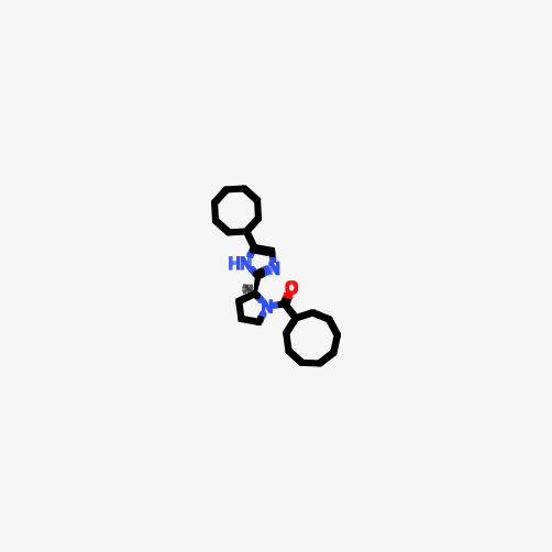 O=C(C1CCCCCCCC1)N1CCC[C@H]1c1ncc(C2CCCCCCC2)[nH]1